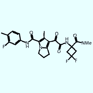 CNC(=O)C1(NC(=O)C(=O)c2c(C)c(C(=O)Nc3ccc(C)c(F)c3)n3c2CCC3)CC(F)(F)C1